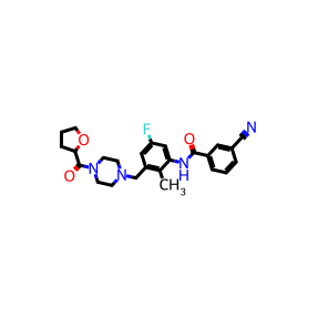 Cc1c(CN2CCN(C(=O)C3CCCO3)CC2)cc(F)cc1NC(=O)c1cccc(C#N)c1